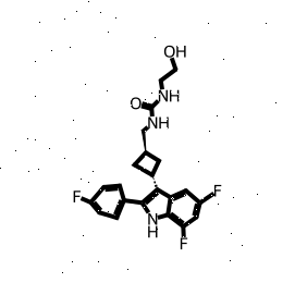 O=C(NCCO)NC[C@H]1C[C@H](c2c(-c3ccc(F)cc3)[nH]c3c(F)cc(F)cc32)C1